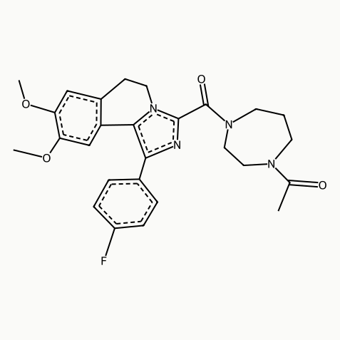 COc1cc2c(cc1OC)-c1c(-c3ccc(F)cc3)nc(C(=O)N3CCCN(C(C)=O)CC3)n1CC2